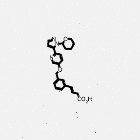 O=C(O)C/C=C/c1cccc(COc2ccc(-c3ccnn3C3CCCCO3)nc2)c1